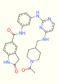 CC(=O)N1CCC(CNc2ccnc(Nc3cccc(NC(=O)c4ccc5c(c4)CC(=O)N5)c3)n2)CC1